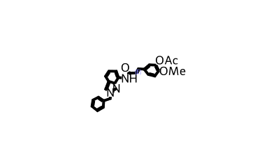 COc1ccc(/C=C/C(=O)Nc2cccc3cn(Cc4ccccc4)nc23)cc1OC(C)=O